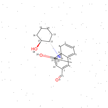 O=CC1=CC2=CC=CCC23CN([C@H]2CCCC[C@@H]2O)C(=O)C3=C1